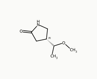 COC(C)[C@H]1CNC(=O)C1